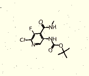 CNC(=O)c1c(NC(=O)OC(C)(C)C)cnc(Cl)c1F